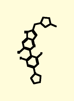 CC1CCC(Cc2cc3nc(-c4c(F)cc(N5CCCC5)cc4F)c(Cl)cc3[nH]2)C1